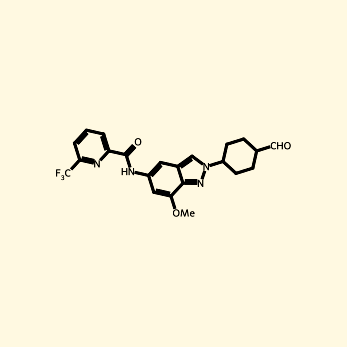 COc1cc(NC(=O)c2cccc(C(F)(F)F)n2)cc2cn(C3CCC(C=O)CC3)nc12